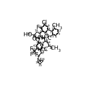 Cc1cccc(C)c1-c1cc(Cl)c(F)c([C@H](CC(=O)O)NC(=O)C(CC(C)C)n2cc(CCN3CCC3)c(C(F)(F)F)cc2=O)c1